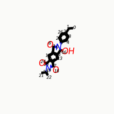 CCc1ccc(N2C(=O)c3cc4c(cc3C2O)C(=O)N(C(C)C)C4=O)cc1